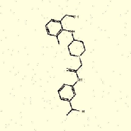 Cc1cccc(CO)c1NC1CCN(CC(=O)Nc2cccc(C(C)O)c2)CC1